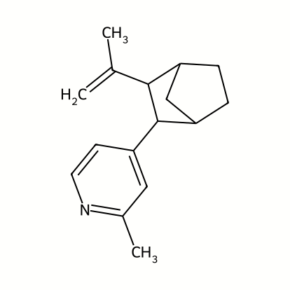 C=C(C)C1C2CCC(C2)C1c1ccnc(C)c1